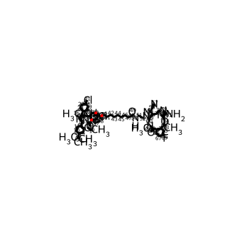 CCOc1cc(C(C)(C)C)ccc1C1=N[C@](C)(c2ccc(Cl)cc2)[C@](C)(c2ccc(Cl)cc2)N1C(=O)N1CCN(CCCCCCCCC(=O)NCCn2nc(C#N)c3c2CN(C)C(=O)c2ccc(F)cc2[C@@H](C)Oc2nc-3cnc2N)CC1